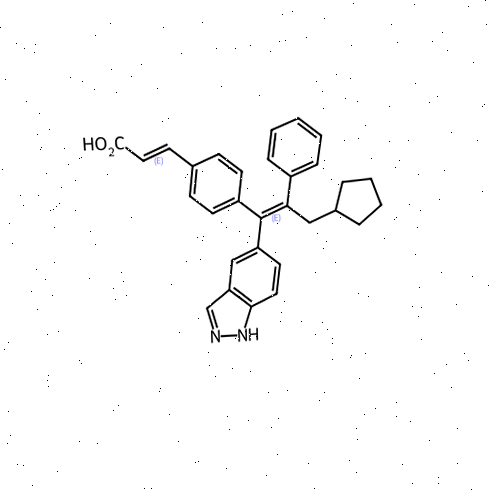 O=C(O)/C=C/c1ccc(/C(=C(/CC2CCCC2)c2ccccc2)c2ccc3[nH]ncc3c2)cc1